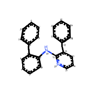 c1ccc(-c2ccccc2Nc2ncccc2-c2ccccc2)cc1